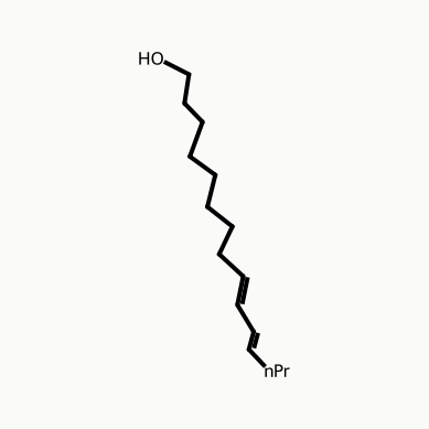 CCCC=CC=CCCCCCCCCO